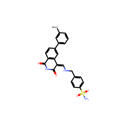 COc1cccc(-c2ccc3c(c2)C(=CNCc2ccc(S(N)(=O)=O)cc2)C(=O)NC3=O)c1